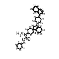 CN(C(=O)OCc1ccccc1)C1CCC(CCN2CCC(c3csc4ccccc34)CC2)(c2ccccc2)CC1